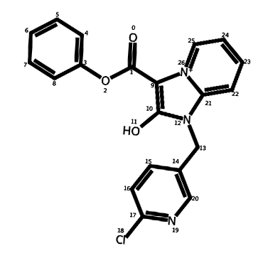 O=C(Oc1ccccc1)c1c(O)n(Cc2ccc(Cl)nc2)c2cccc[n+]12